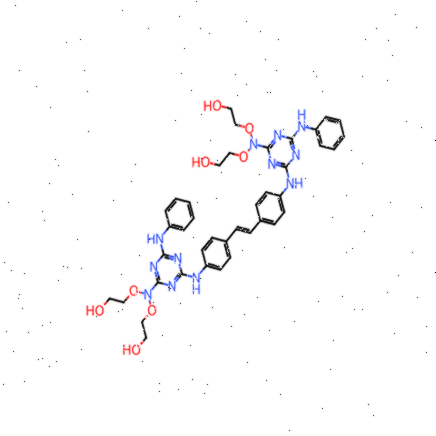 OCCON(OCCO)c1nc(Nc2ccccc2)nc(Nc2ccc(C=Cc3ccc(Nc4nc(Nc5ccccc5)nc(N(OCCO)OCCO)n4)cc3)cc2)n1